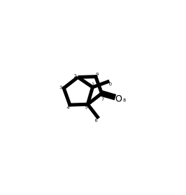 CC1C2CCC1(C)C(=O)C2